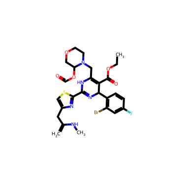 C=C(Cc1csc(C2=NC(c3ccc(F)cc3Br)C(C(=O)OCC)=C(CN3CCOCC3OC=O)N2)n1)NC